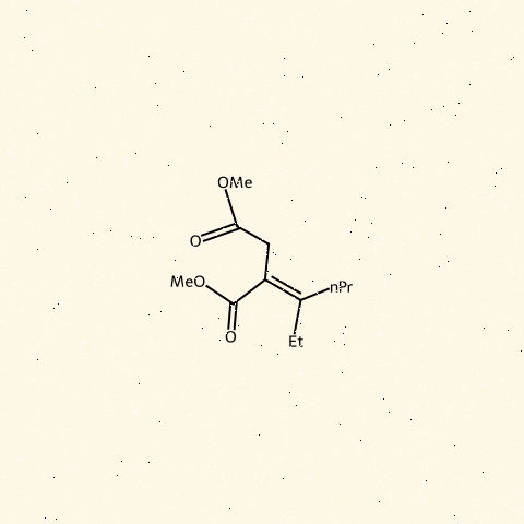 CCC/C(CC)=C(\CC(=O)OC)C(=O)OC